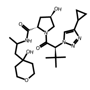 CC(CC1(O)CCOCC1)NC(=O)[C@@H]1C[C@@H](O)CN1C(=O)[C@@H](n1cc(C2CC2)nn1)C(C)(C)C